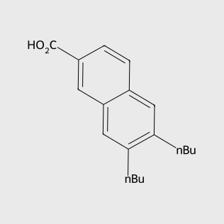 CCCCc1cc2ccc(C(=O)O)cc2cc1CCCC